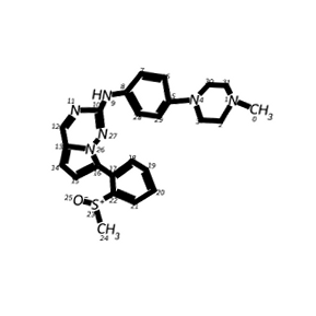 CN1CCN(c2ccc(Nc3ncc4ccc(-c5ccccc5[S+](C)[O-])n4n3)cc2)CC1